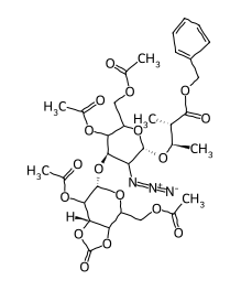 CC(=O)OCC1O[C@H](O[C@H](C)[C@H](C)C(=O)OCc2ccccc2)C(N=[N+]=[N-])[C@@H](O[C@@H]2OC(COC(C)=O)C3OC(=O)O[C@@H]3C2OC(C)=O)C1OC(C)=O